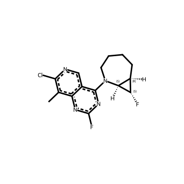 Cc1c(Cl)ncc2c(N3CCCC[C@H]4[C@H](F)[C@H]43)nc(F)nc12